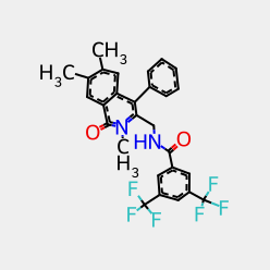 Cc1cc2c(-c3ccccc3)c(CNC(=O)c3cc(C(F)(F)F)cc(C(F)(F)F)c3)n(C)c(=O)c2cc1C